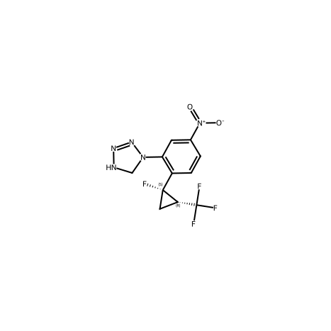 O=[N+]([O-])c1ccc([C@]2(F)C[C@H]2C(F)(F)F)c(N2CNN=N2)c1